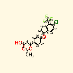 CCO[C@@H](CC(=O)O)c1ccc(O[C@@H]2CCc3c2ccc(Cl)c3C(F)(F)F)cc1